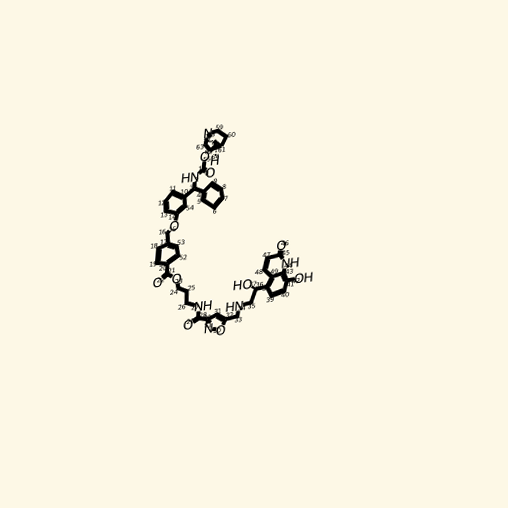 O=C(NC(c1ccccc1)c1cccc(OCc2ccc(C(=O)OCCCNC(=O)c3cc(CNC[C@@H](O)c4ccc(O)c5[nH]c(=O)ccc45)on3)cc2)c1)O[C@H]1CN2CCC1CC2